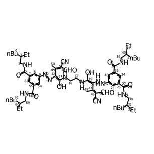 CCCCC(CC)CNC(=O)c1cc(/N=N/C(=C(\O)NCCN/C(O)=C(NNc2cc(C(=O)NCC(CC)CCCC)cc(C(=O)NCC(CC)CCCC)c2)\C(C)=C(\C#N)C=O)C(/C)=C(/C#N)C=O)cc(C(=O)NCC(CC)CCCC)c1